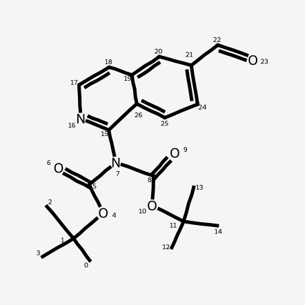 CC(C)(C)OC(=O)N(C(=O)OC(C)(C)C)c1nccc2cc(C=O)ccc12